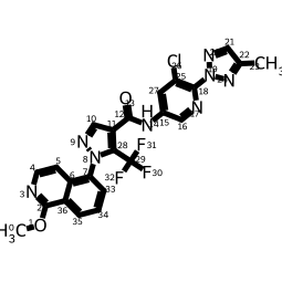 COc1nccc2c(-n3ncc(C(=O)Nc4cnc(-n5ncc(C)n5)c(Cl)c4)c3C(F)(F)F)cccc12